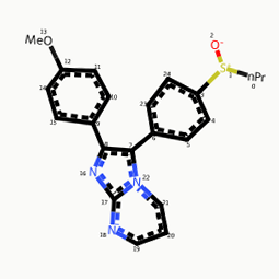 CCC[S+]([O-])c1ccc(-c2c(-c3ccc(OC)cc3)nc3ncccn23)cc1